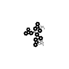 CC1(C)c2ccccc2-c2cccc(-c3ccccc3-c3ccc(N(c4ccc5c(c4)C4(CCCC4)c4ccccc4-5)c4ccc5c(c4)C(C)(c4ccccc4)c4ccccc4-5)cc3)c21